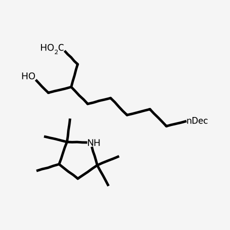 CC1CC(C)(C)NC1(C)C.CCCCCCCCCCCCCCCC(CO)CC(=O)O